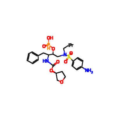 CC(C)CN(CC(O[PH](=O)O)C(Cc1ccccc1)NC(=O)O[C@H]1CCOC1)S(=O)(=O)c1ccc(N)cc1